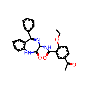 CCOc1ccc(C(C)=O)cc1C(=O)NC1N=C(c2ccccc2)c2ccccc2NC1=O